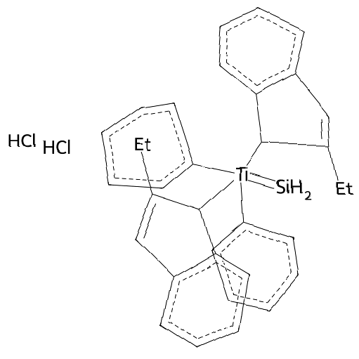 CCC1=Cc2ccccc2[CH]1[Ti](=[SiH2])([c]1ccccc1)([c]1ccccc1)[CH]1C(CC)=Cc2ccccc21.Cl.Cl